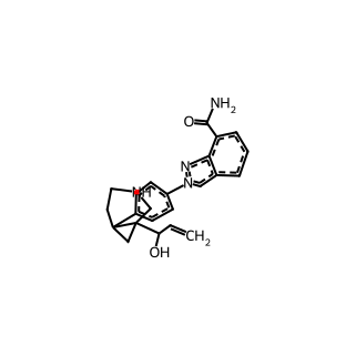 C=CC(O)C12CNCCC1(c1ccc(-n3cc4cccc(C(N)=O)c4n3)cc1)C2